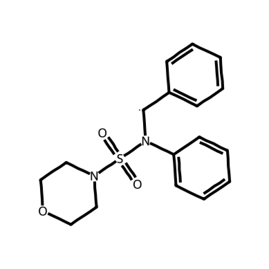 O=S(=O)(N1CCOCC1)N([CH]c1ccccc1)c1ccccc1